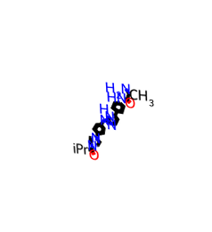 CC(C)C(=O)N1CCN(c2ccc(Nc3nccc(-c4ccc(NC(=O)C(C)N)cc4)n3)cc2)CC1